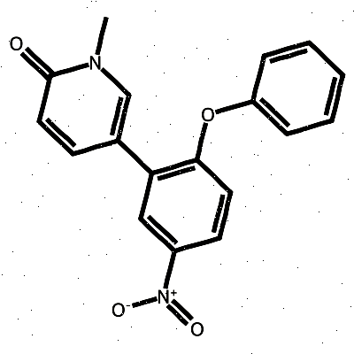 Cn1cc(-c2cc([N+](=O)[O-])ccc2Oc2ccccc2)ccc1=O